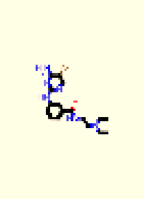 CCN(CC)CCNC(=O)c1cccc(Nc2ncc(Br)c(N)n2)c1